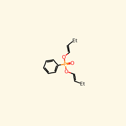 CCC=COP(=O)(OC=CCC)c1ccccc1